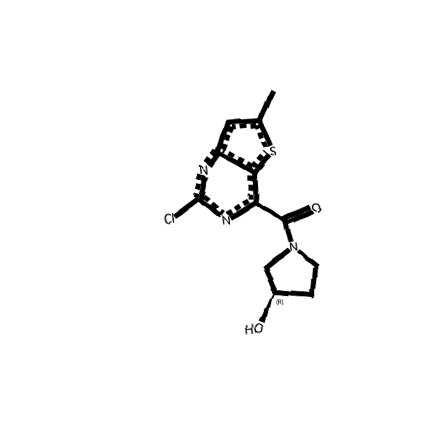 Cc1cc2nc(Cl)nc(C(=O)N3CC[C@@H](O)C3)c2s1